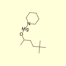 CC(CCC(C)(C)C)[O][Mg][N]1CCCCC1